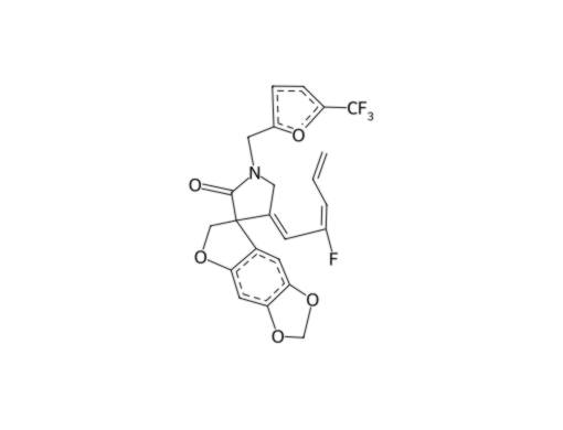 C=C/C=C(F)\C=C1/CN(Cc2ccc(C(F)(F)F)o2)C(=O)C12COc1cc3c(cc12)OCO3